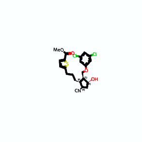 [C-]#[N+][C@@H]1C[C@@H](O)[C@H](COc2cc(Cl)cc(Cl)c2)[C@H]1CCCc1ccc(C(=O)OC)s1